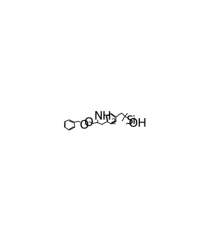 CC(C)(Cc1ccc(CC(N)COOCc2ccccc2)cc1)[Si](C)(C)O